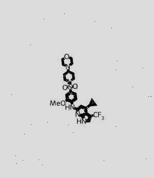 COc1cc(S(=O)(=O)N2CCC(N3CCOCC3)CC2)ccc1Nc1cc(C2CC2)c2c(C(F)(F)F)c[nH]c2n1